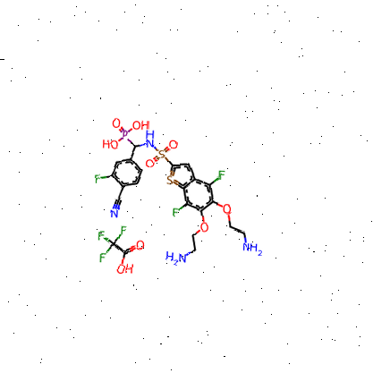 N#Cc1ccc(C(NS(=O)(=O)c2cc3c(F)c(OCCN)c(OCCN)c(F)c3s2)P(=O)(O)O)cc1F.O=C(O)C(F)(F)F